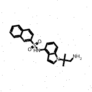 CC(C)(CN)n1ccc2c(NS(=O)(=O)c3ccc4ccccc4c3)cccc21